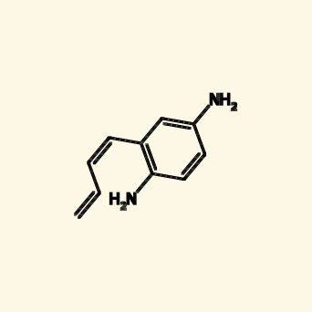 C=C/C=C\c1cc(N)ccc1N